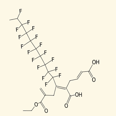 C=C(CC(=C(CC=CC(=O)O)C(=O)O)C(F)(F)C(F)(F)C(F)(F)C(F)(F)C(F)(F)C(F)(F)C(F)(F)C(F)(F)C(C)F)C(=O)OCC